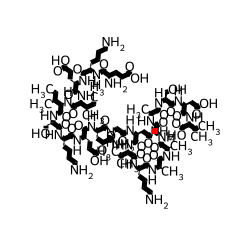 CC[C@H](C)[C@H](NC(=O)[C@H](CCC(=O)O)NC(=O)[C@H](CCCCN)NC(=O)[C@@H](N)CCC(=O)O)C(=O)N[C@H](C(=O)N[C@@H](CO)C(=O)N[C@@H](CCCCN)C(=O)N[C@@H](CCC(=O)O)C(=O)N[C@@H](CCC(N)=O)C(=O)NCC(=O)N[C@@H](CC(N)=O)C(=O)N[C@H](C(=O)N[C@@H](CCCCN)C(=O)N[C@@H](C)C(=O)N[C@@H](C)C(=O)NCC(=O)N[C@@H](C)C(=O)N[C@@H](CO)C(=O)N[C@@H](CC(=O)O)C(=O)N[C@H](C(=O)O)C(C)C)C(C)C)[C@@H](C)CC